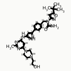 Cc1nc(Nc2cc(-c3ccc(CN(C(N)=O)c4cc(C(C)(C)C)on4)cc3)n[nH]2)cc(N2CCN(CCO)CC2)n1